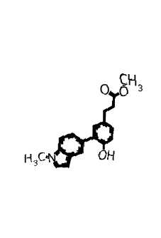 COC(=O)CCc1ccc(O)c(-c2ccc3c(ccn3C)c2)c1